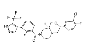 O=C(c1cccc(-c2cn[nH]c2C(F)(F)F)c1F)N1CCN2C[C@@H](c3ccc(F)c(Cl)c3)OC[C@@H]2C1